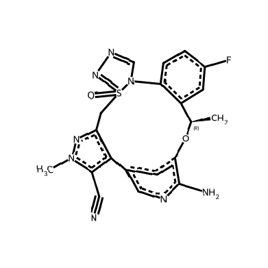 C[C@H]1Oc2cc(cnc2N)-c2c(nn(C)c2C#N)CS2(=O)=NN=CN2c2ccc(F)cc21